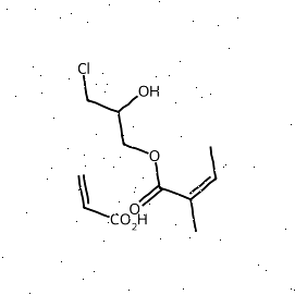 C=CC(=O)O.CC=C(C)C(=O)OCC(O)CCl